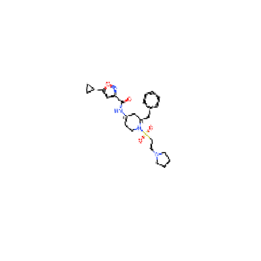 O=C(N[C@@H]1CCN(S(=O)(=O)CCN2CCCC2)[C@H](Cc2ccccc2)C1)c1cc(C2CC2)on1